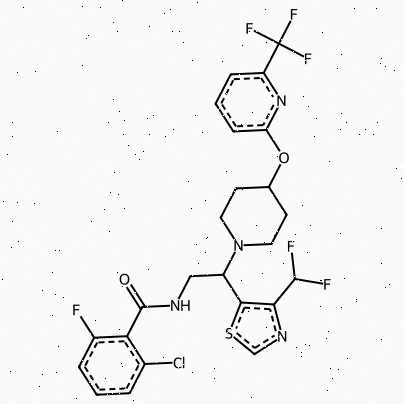 O=C(NCC(c1scnc1C(F)F)N1CCC(Oc2cccc(C(F)(F)F)n2)CC1)c1c(F)cccc1Cl